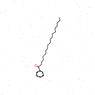 CCCCCCCCCCCCCCCCCCC(=O)c1ccccc1